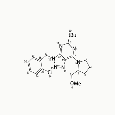 COCC1CCCN1c1nc(C(C)(C)C)nc2c1nnn2Cc1ccccc1Cl